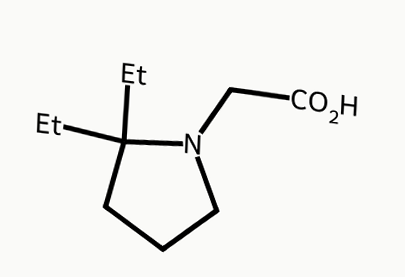 CCC1(CC)CCCN1CC(=O)O